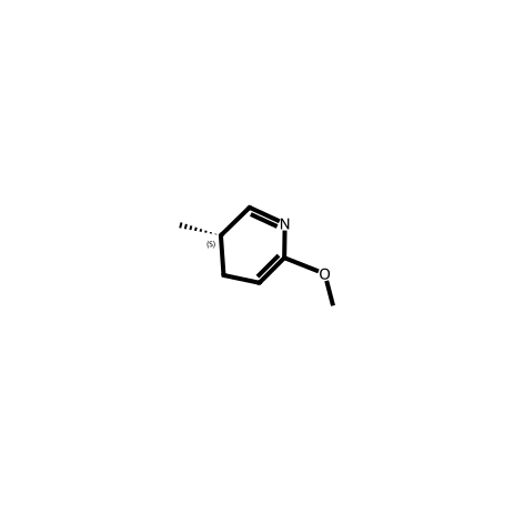 COC1=CC[C@H](C)C=N1